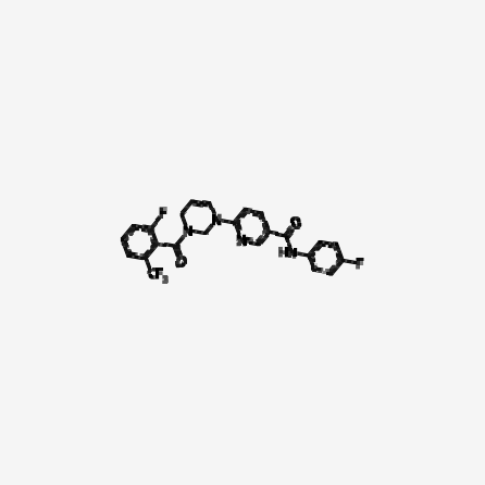 O=C(Nc1ccc(F)cc1)c1ccc(N2C=CCN(C(=O)c3c(F)cccc3C(F)(F)F)C2)nc1